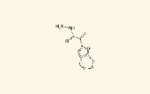 C=C(C(=O)NN)c1cc2ccccc2o1